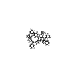 CC(C)(C)c1cc2c3c(c1)N(c1ccccc1)c1c(sc4ccccc14)B3c1ccc3cc1N2c1cccc(c1)C1(c2cccc(c2)N3c2ccccc2)c2ccccc2-c2ccccc21